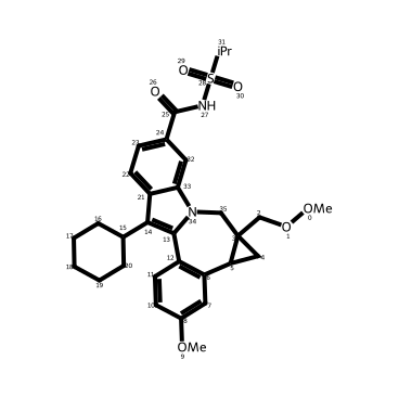 COOCC12CC1c1cc(OC)ccc1-c1c(C3CCCCC3)c3ccc(C(=O)NS(=O)(=O)C(C)C)cc3n1C2